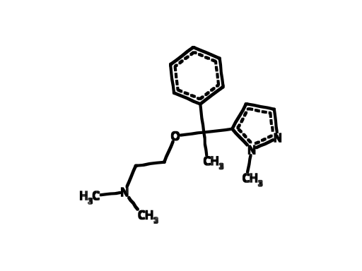 CN(C)CCOC(C)(c1ccccc1)c1ccnn1C